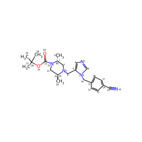 C[C@@H]1CN(Cc2cncn2Cc2ccc(C#N)cc2)[C@@H](C)CN1C(=O)OC(C)(C)C